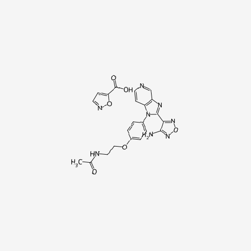 CC(=O)NCCOc1ccc(-n2c(-c3nonc3N)nc3cnccc32)cc1.O=C(O)c1ccno1